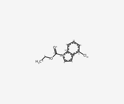 CCOC(=O)n1ccc2c(Cl)cccc21